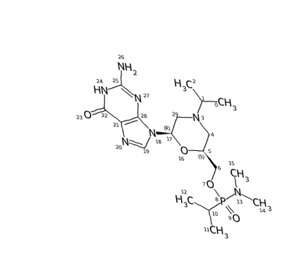 CC(C)N1C[C@@H](COP(=O)(C(C)C)N(C)C)O[C@@H](n2cnc3c(=O)[nH]c(N)nc32)C1